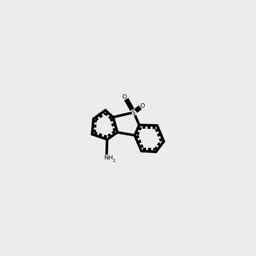 Nc1cccc2c1-c1ccccc1S2(=O)=O